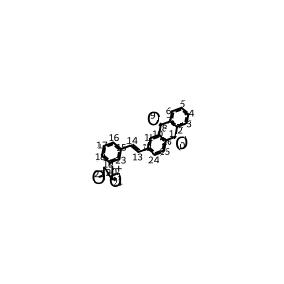 O=C1c2ccccc2C(=O)c2cc(C=Cc3cccc([N+](=O)[O-])c3)ccc21